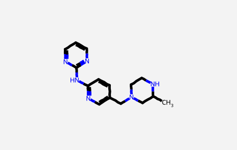 CC1CN(Cc2ccc(Nc3ncccn3)nc2)CCN1